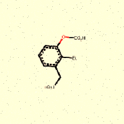 CCCCCCCCCc1cccc(OC(=O)O)c1CC